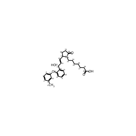 Cc1cccc(Oc2ccccc2[C@H](O)/C=C/C2CCC(=O)N2CCCCCCC(=O)O)c1